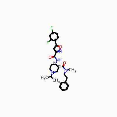 CC(C)N1CC[C@@H](NC(=O)c2cc(-c3ccc(F)cc3F)on2)[C@H](C(=O)N(C)CCc2ccccc2)C1